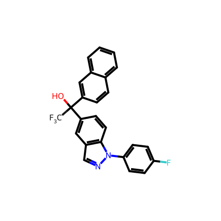 OC(c1ccc2ccccc2c1)(c1ccc2c(cnn2-c2ccc(F)cc2)c1)C(F)(F)F